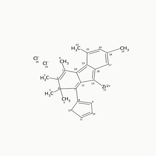 CC1=C(C)C(C)(C)C(C2=CC=CC2)=C2[C]([Zr+2])=c3cc(C)cc(C)c3=C12.[Cl-].[Cl-]